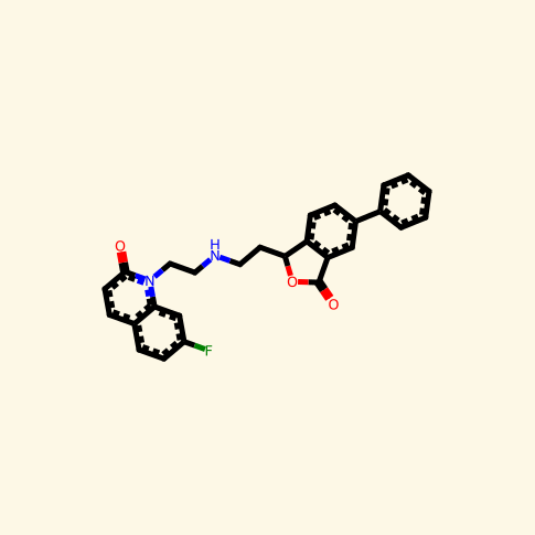 O=C1OC(CCNCCn2c(=O)ccc3ccc(F)cc32)c2ccc(-c3ccccc3)cc21